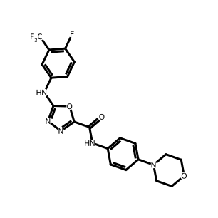 O=C(Nc1ccc(N2CCOCC2)cc1)c1nnc(Nc2ccc(F)c(C(F)(F)F)c2)o1